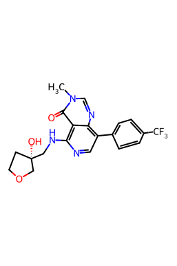 Cn1cnc2c(-c3ccc(C(F)(F)F)cc3)cnc(NC[C@]3(O)CCOC3)c2c1=O